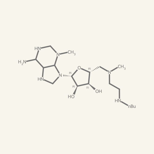 CCCCNCCN(C)C[C@H]1O[C@@H](N2CNC3C(N)NCN(C)C32)[C@H](O)[C@@H]1O